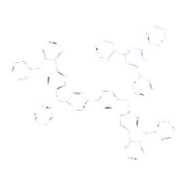 c1ccc(-c2nc(-c3ccccc3)nc(-c3cccc(-n4c5ccc(-c6ccc7c(c6)c6cc8c9ccccc9n(-c9ccccc9)c8cc6n7-c6ccccc6)cc5c5cc6c7ccccc7n(-c7ccccc7)c6cc54)c3)n2)cc1